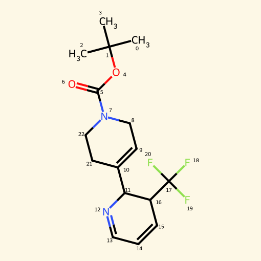 CC(C)(C)OC(=O)N1CC=C(C2N=CC=CC2C(F)(F)F)CC1